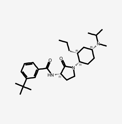 CCC[C@@H]1C[C@H](N(C)C(C)C)CC[C@@H]1N1CC[C@H](NC(=O)c2cccc(C(C)(C)C)c2)C1=O